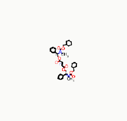 CN(C(=O)OCC1CCCCC1)[C@@H](COC(=O)/C=C/C(=O)OC[C@@H](c1ccccc1)N(C)C(=O)OCC1CCCCC1)c1ccccc1